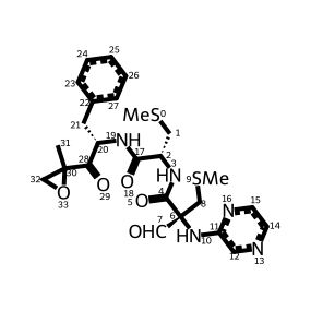 CSC[C@H](NC(=O)[C@](C=O)(CSC)Nc1cnccn1)C(=O)N[C@@H](Cc1ccccc1)C(=O)C1(C)CO1